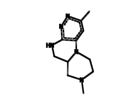 Cc1cc2c(nn1)NCC1CN(C)CCN21